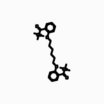 [CH3][Ge]([CH3])([CH3])[C](=O)c1ccccc1OCCCCCCOc1ccccc1[C](=O)[Ge]([CH3])([CH3])[CH3]